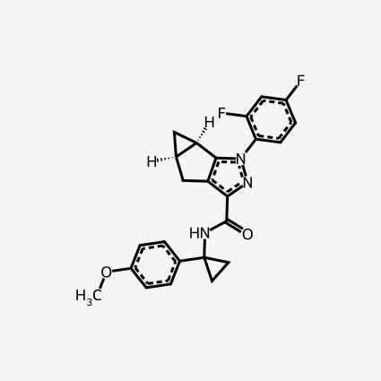 COc1ccc(C2(NC(=O)c3nn(-c4ccc(F)cc4F)c4c3C[C@H]3C[C@@H]43)CC2)cc1